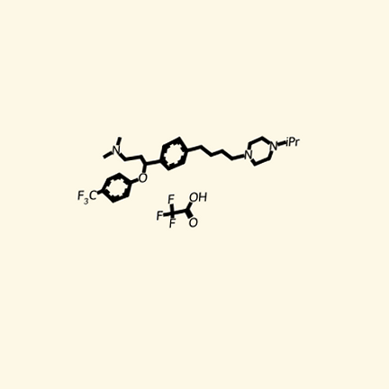 CC(C)N1CCN(CCCCc2ccc(C(CCN(C)C)Oc3ccc(C(F)(F)F)cc3)cc2)CC1.O=C(O)C(F)(F)F